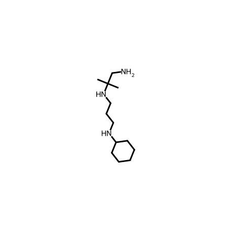 CC(C)(CN)NCCCNC1CCCCC1